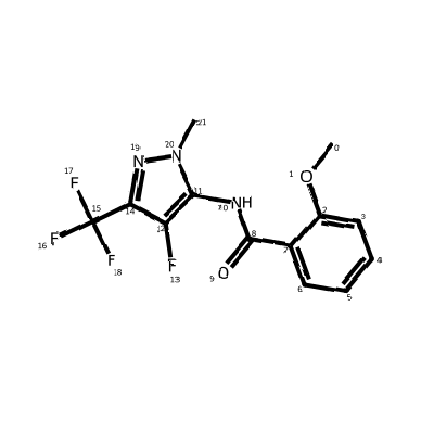 COc1ccccc1C(=O)Nc1c(F)c(C(F)(F)F)nn1C